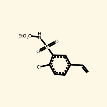 C=Cc1ccc(Cl)c(S(=O)(=O)NC(=O)OCC)c1